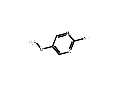 COc1cnc([NH])nc1